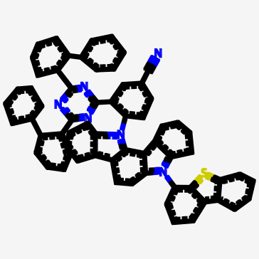 N#Cc1ccc(-n2c3ccccc3c3ccc4c(c5ccccc5n4-c4cccc5c4sc4ccccc45)c32)c(-c2nc(-c3ccccc3-c3ccccc3)nc(-c3ccccc3-c3ccccc3)n2)c1